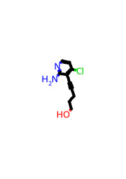 Nc1nccc(Cl)c1C#CCCCO